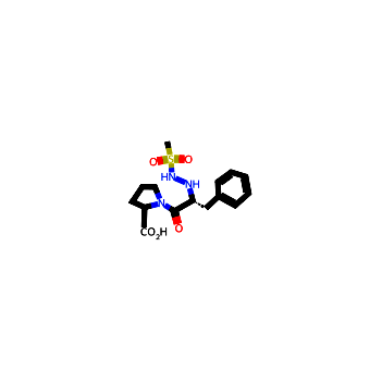 CS(=O)(=O)NN[C@H](Cc1ccccc1)C(=O)N1CCCC1C(=O)O